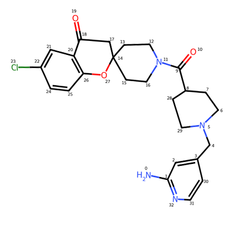 Nc1cc(CN2CCC(C(=O)N3CCC4(CC3)CC(=O)c3cc(Cl)ccc3O4)CC2)ccn1